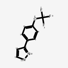 FC(F)(F)Oc1ccc(C2=N[N]C=C2)cc1